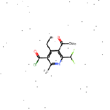 COC(=O)c1c(C(F)F)nc(C(F)(F)F)c(C(=O)Cl)c1CC(C)C